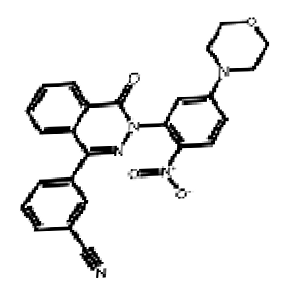 N#Cc1cccc(-c2nn(-c3cc(N4CCOCC4)ccc3[N+](=O)[O-])c(=O)c3ccccc23)c1